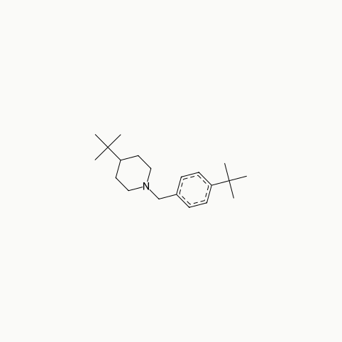 CC(C)(C)c1ccc(CN2CCC(C(C)(C)C)CC2)cc1